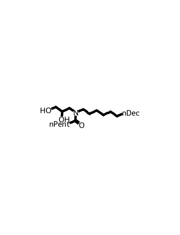 CCCCCCCCCCCCCCCCN(CC(O)CO)C(=O)CCCCC